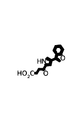 O=C(O)CCC(=O)c1cc(-c2coc3ccccc23)c[nH]1